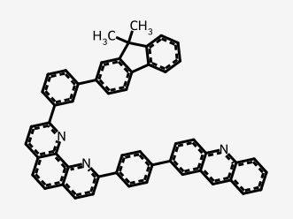 CC1(C)c2ccccc2-c2ccc(-c3cccc(-c4ccc5ccc6ccc(-c7ccc(-c8ccc9nc%10ccccc%10cc9c8)cc7)nc6c5n4)c3)cc21